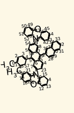 CC1=CC=C(c2c3cc(N4C5=C(C=CCC5)Oc5ccccc54)ccc3c(-c3ccc4ccccc4c3)c3cc(N4c5ccccc5Oc5ccccc54)ccc23)CC1C